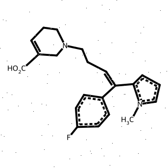 Cn1cccc1C(=CCCN1CCC=C(C(=O)O)C1)c1ccc(F)cc1